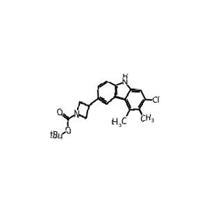 Cc1c(Cl)cc2[nH]c3ccc(C4CN(C(=O)OC(C)(C)C)C4)cc3c2c1C